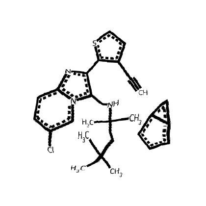 C#Cc1ccsc1-c1nc2ccc(Cl)cn2c1NC(C)(C)CC(C)(C)C.c1cc2cc-2c1